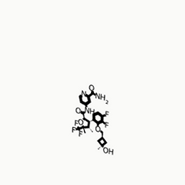 C[C@H]1[C@@H](c2ccc(F)c(F)c2OC[C@H]2C[C@@](C)(O)C2)[C@H](C(=O)Nc2ccnc(C(N)=O)c2)O[C@@]1(C)C(F)(F)F